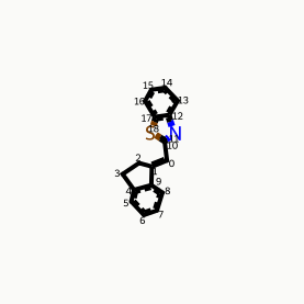 C(=C1CCc2ccccc21)c1nc2ccccc2s1